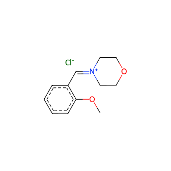 COc1ccccc1C=[N+]1CCOCC1.[Cl-]